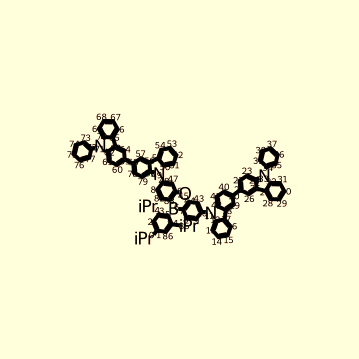 CC(C)c1cc(C(C)C)c(B2c3ccc(-n4c5ccccc5c5cc(-c6ccc7c(c6)c6ccccc6n7-c6ccccc6)ccc54)cc3Oc3cc(-n4c5ccccc5c5cc(-c6ccc7c(c6)c6ccccc6n7-c6ccccc6)ccc54)ccc32)c(C(C)C)c1